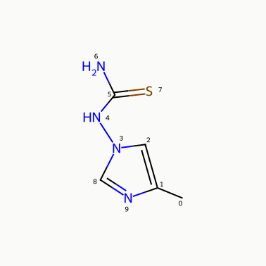 Cc1cn(NC(N)=S)cn1